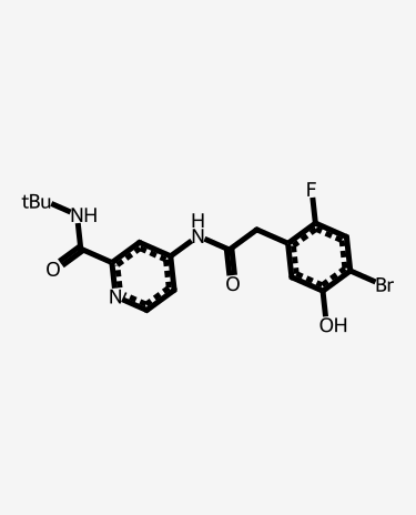 CC(C)(C)NC(=O)c1cc(NC(=O)Cc2cc(O)c(Br)cc2F)ccn1